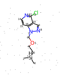 C[SiH](C)CCOCn1ncc2c(Cl)nccc21